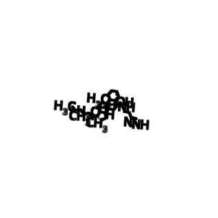 CC(C)CCC[C@@H](C)[C@H]1CC[C@H]2[C@@H]3C[C@@H](NCCc4c[nH]cn4)[C@@]4(O)C[CH]CC[C@]4(C)[C@H]3CC[C@]12C